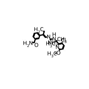 C=C/C(=C\N=C(/N)NC(C)(C)c1nc(OC)ccc1Cl)c1cccc(C(N)=O)c1